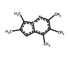 Cc1cc2c(C)c(C)c(C)nn2c1C